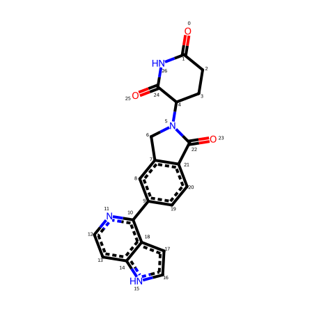 O=C1CCC(N2Cc3cc(-c4nccc5[nH]ccc45)ccc3C2=O)C(=O)N1